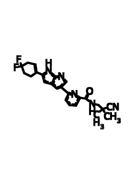 CC(C)(C#N)CNC(=O)c1cccc(-c2cnc3[nH]c(C4=CCC(F)(F)CC4)cc3c2)n1